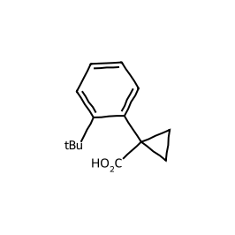 CC(C)(C)c1ccccc1C1(C(=O)O)CC1